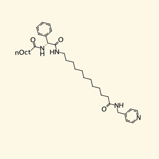 CCCCCCCCC(=O)N[C@@H](C(=O)NCCCCCCCCCCCC(=O)NCc1ccncc1)c1ccccc1